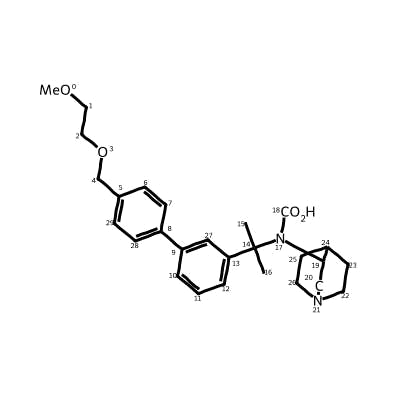 COCCOCc1ccc(-c2cccc(C(C)(C)N(C(=O)O)C3CN4CCC3CC4)c2)cc1